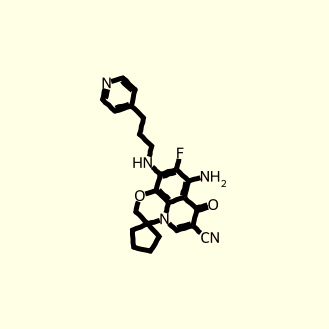 N#Cc1cn2c3c(c(NCCCc4ccncc4)c(F)c(N)c3c1=O)OCC21CCCC1